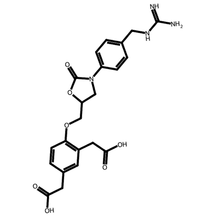 N=C(N)NCc1ccc(N2CC(COc3ccc(CC(=O)O)cc3CC(=O)O)OC2=O)cc1